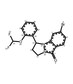 O=c1c2ccc(Br)cc2n2n1CCC2c1ccccc1OC(F)F